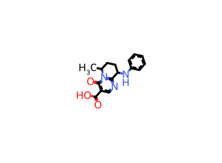 CC1CCC(Nc2ccccc2)c2ncc(C(=O)O)c(=O)n21